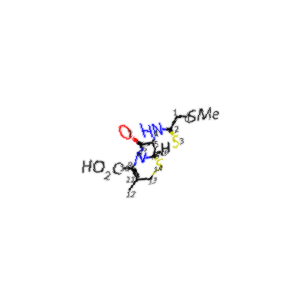 CSCC(=S)NC1C(=O)N2C(C(=O)O)=C(C)CS[C@@H]12